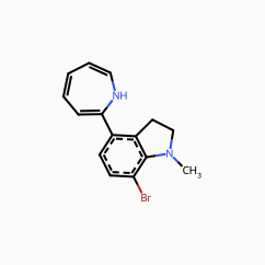 CN1CCc2c(C3=CC=CC=CN3)ccc(Br)c21